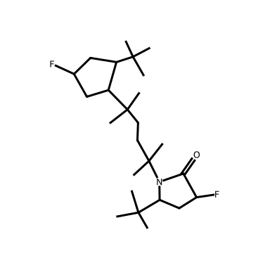 CC(C)(C)C1CC(F)CC1C(C)(C)CCC(C)(C)N1C(=O)C(F)CC1C(C)(C)C